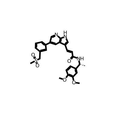 COc1ccc([C@@H](C)NC(=O)/C=C/c2c[nH]c3ncc(-c4cccc(CS(C)(=O)=O)c4)cc23)cc1OC